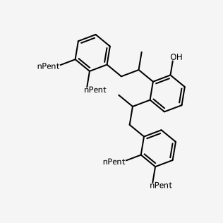 CCCCCc1cccc(CC(C)c2cccc(O)c2C(C)Cc2cccc(CCCCC)c2CCCCC)c1CCCCC